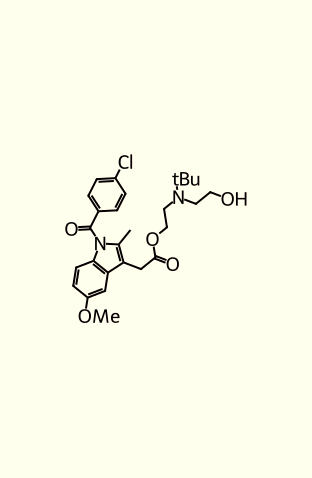 COc1ccc2c(c1)c(CC(=O)OCCN(CCO)C(C)(C)C)c(C)n2C(=O)c1ccc(Cl)cc1